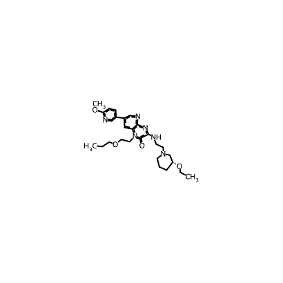 CCCOCCn1c(=O)c(NCCN2CCC[C@@H](OCC)C2)nc2ncc(-c3ccc(OC)nc3)cc21